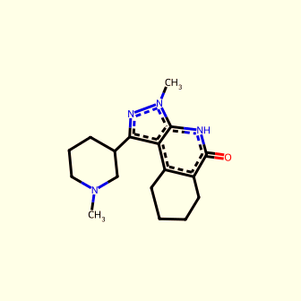 CN1CCCC(c2nn(C)c3[nH]c(=O)c4c(c23)CCCC4)C1